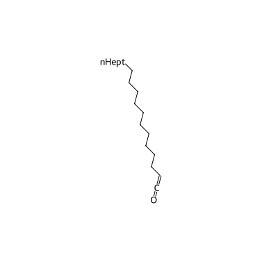 CCCCCCCCCCCCCCCCCC=C=O